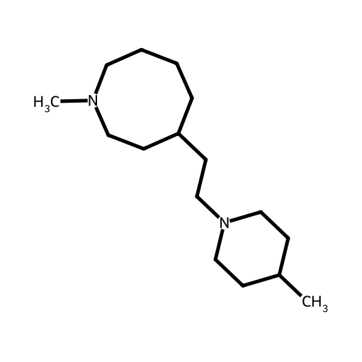 CC1CCN(CCC2CCCCN(C)CC2)CC1